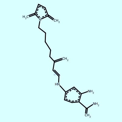 C=C(/C=C/Nc1ccc(C(=C)N)c(N)c1)CCCCCn1c(=C)ccc1=C